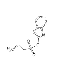 C=CCS(=O)(=O)Oc1nc2ccccc2s1